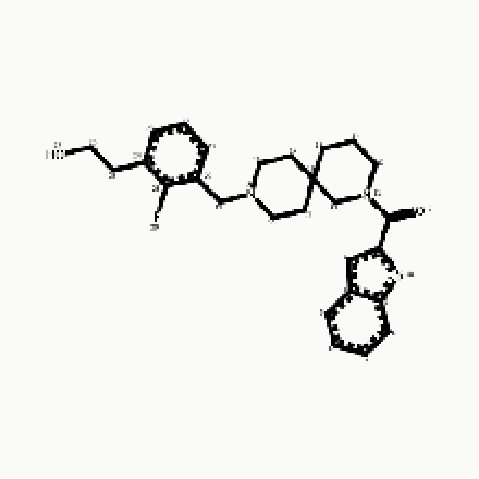 O=C(c1cc2ccccc2s1)N1CCCC2(CCN(Cc3cccc(CCO)c3F)CC2)C1